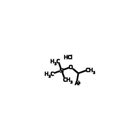 C[CH]([Al])O[Si](C)(C)C.Cl